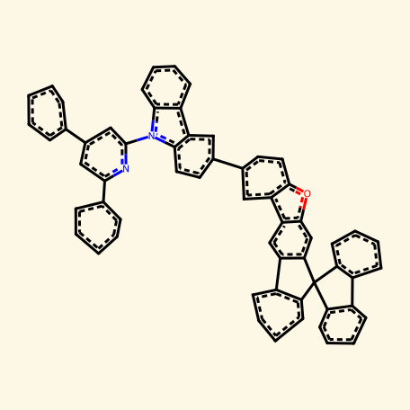 c1ccc(-c2cc(-c3ccccc3)nc(-n3c4ccccc4c4cc(-c5ccc6oc7cc8c(cc7c6c5)-c5ccccc5C85c6ccccc6-c6ccccc65)ccc43)c2)cc1